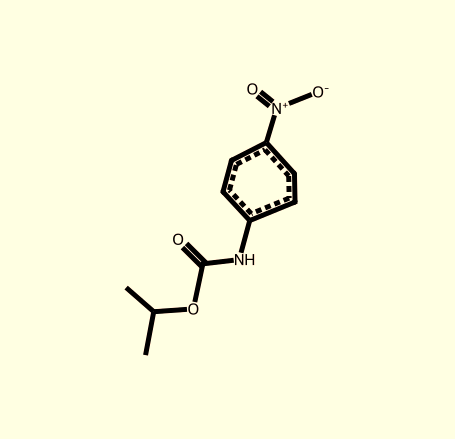 CC(C)OC(=O)Nc1ccc([N+](=O)[O-])cc1